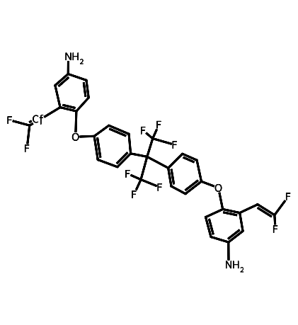 Nc1ccc(Oc2ccc(C(c3ccc(Oc4ccc(N)c[c]4[Cf]=[C](F)F)cc3)(C(F)(F)F)C(F)(F)F)cc2)c(C=C(F)F)c1